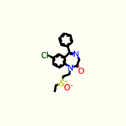 CC[S+]([O-])CCN1C(=O)CN=C(c2ccccc2)c2cc(Cl)ccc21